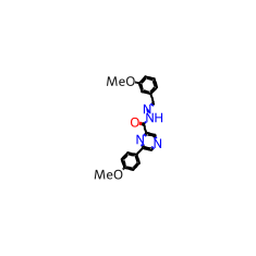 COc1ccc(-c2cncc(C(=O)NN=Cc3cccc(OC)c3)n2)cc1